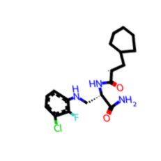 NC(=O)[C@H](CNc1cccc(Cl)c1F)NC(=O)[CH]CC1CCCCC1